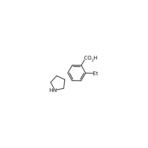 C1CCNC1.CCc1ccccc1C(=O)O